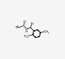 CCC(N[S+]([O-])C(C)(C)C)c1cc(C)ccc1C